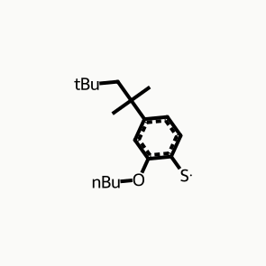 CCCCOc1cc(C(C)(C)CC(C)(C)C)ccc1[S]